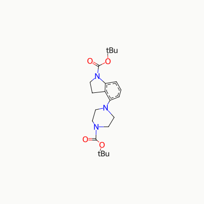 CC(C)(C)OC(=O)N1CCN(c2cccc3c2CCN3C(=O)OC(C)(C)C)CC1